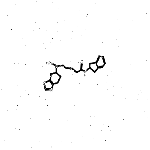 CCCN(CCCCC(=O)NC1Cc2ccccc2C1)C1CCc2ncsc2C1